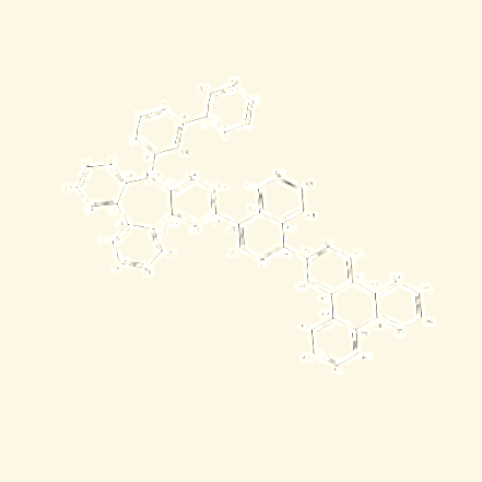 c1ccc(-c2cccc(N3c4ccccc4-c4ccccc4-c4cc(-c5ccc(-c6ccc7c8ccccc8c8ccccc8c7c6)c6ccccc56)ccc43)c2)cc1